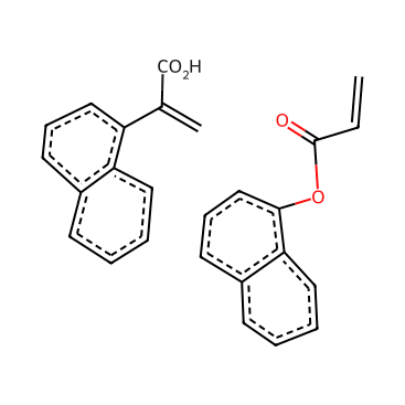 C=C(C(=O)O)c1cccc2ccccc12.C=CC(=O)Oc1cccc2ccccc12